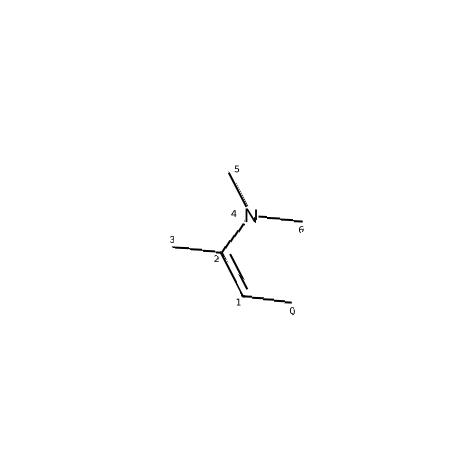 C/C=C(/C)N(C)C